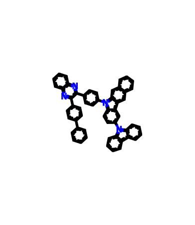 c1ccc(-c2ccc(-c3nc4ccccc4nc3-c3ccc(-n4c5ccc(-n6c7ccccc7c7ccccc76)cc5c5cc6ccccc6cc54)cc3)cc2)cc1